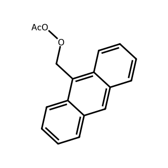 CC(=O)OOCc1c2ccccc2cc2ccccc12